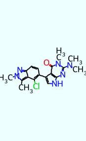 Cc1c2c(Cl)c(-c3c[nH]c4nc(N(C)C)n(C)c(=O)c34)ccc2nn1C